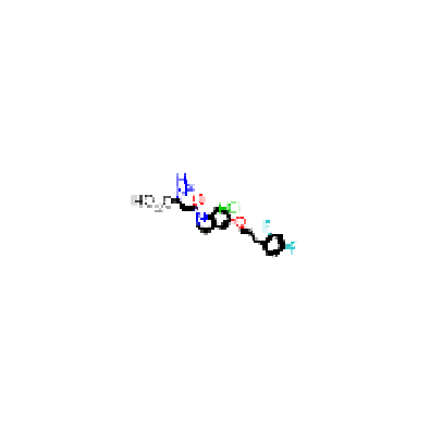 Cl.NC(CC(=O)N1CCc2cc(OCCCc3ccc(F)cc3F)ccc21)C(=O)O